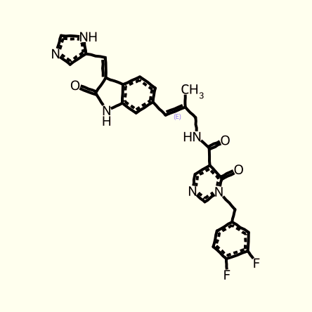 C/C(=C\c1ccc2c(c1)NC(=O)C2=Cc1cnc[nH]1)CNC(=O)c1cncn(Cc2ccc(F)c(F)c2)c1=O